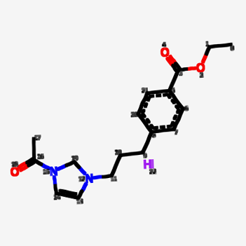 CCOC(=O)c1ccc(CCCN2C=CN(C(C)=O)C2)cc1.I